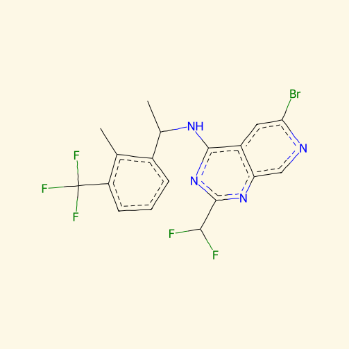 Cc1c(C(C)Nc2nc(C(F)F)nc3cnc(Br)cc23)cccc1C(F)(F)F